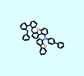 c1ccc(Cc2ccccc2-c2ccccc2Cc2cccc3c2oc2cccc(N(c4ccc(-c5ccccc5)cc4)c4cccc5c4oc4ccccc45)c23)cc1